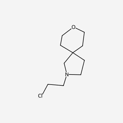 ClCCN1CCC2(CCOCC2)C1